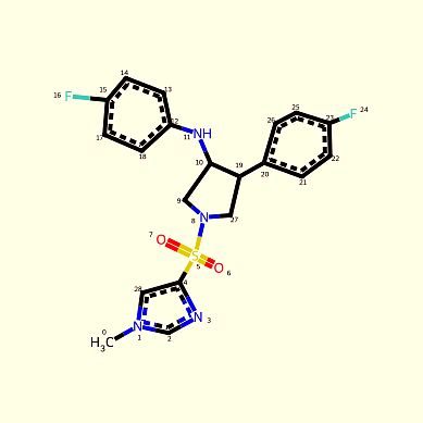 Cn1cnc(S(=O)(=O)N2CC(Nc3ccc(F)cc3)C(c3ccc(F)cc3)C2)c1